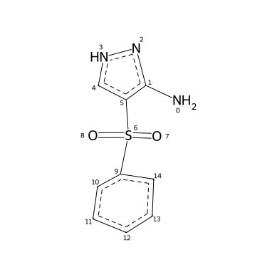 Nc1n[nH]cc1S(=O)(=O)c1ccccc1